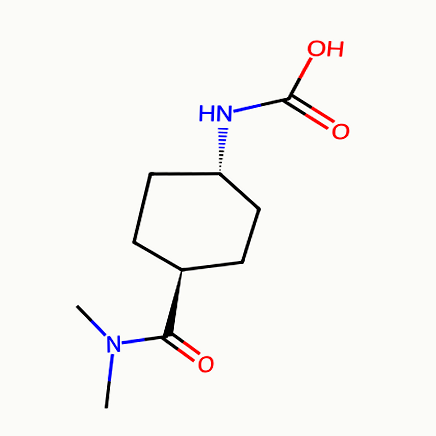 CN(C)C(=O)[C@H]1CC[C@H](NC(=O)O)CC1